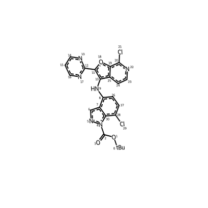 CC(C)(C)OC(=O)n1ncc2c(Nc3c(-c4ncccn4)oc4c(Cl)nccc34)ccc(Cl)c21